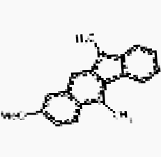 COc1ccc2c(c1)cc1c(c3ccccc3n1C)[n+]2C